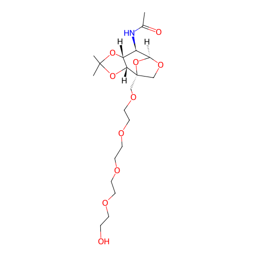 CC(=O)N[C@H]1[C@H]2OC[C@](COCCOCCOCCOCCO)(O2)[C@@H]2OC(C)(C)O[C@H]12